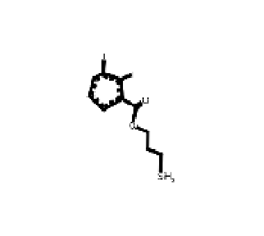 O=C(OCCC[SiH3])c1cccc(I)c1I